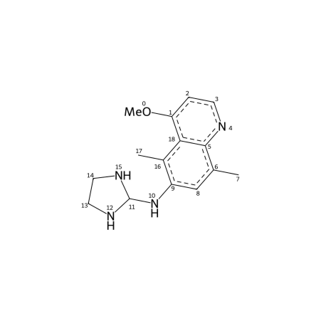 COc1ccnc2c(C)cc(NC3NCCN3)c(C)c12